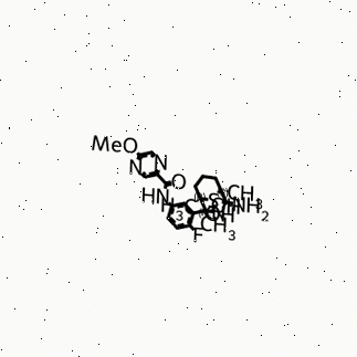 COc1cnc(C(=O)Nc2ccc(F)c([C@@]3(C)N=C(N)[C@]4(C)CCC[C@@]3(C)S4(O)O)c2)cn1